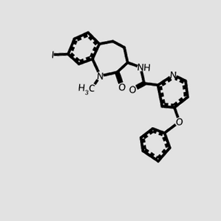 CN1C(=O)C(NC(=O)c2cc(Oc3ccccc3)ccn2)CCc2ccc(I)cc21